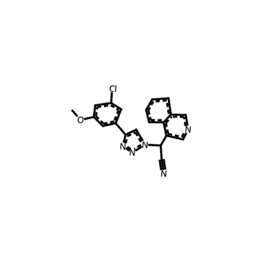 COc1cc(Cl)cc(-c2cn(C(C#N)c3cncc4ccccc34)nn2)c1